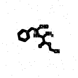 N#CCOC(=O)C(N)N[C@H](C=O)Cc1ccccc1